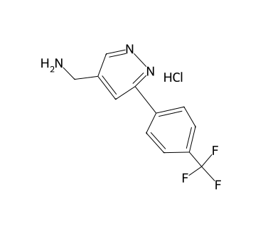 Cl.NCc1cnnc(-c2ccc(C(F)(F)F)cc2)c1